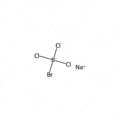 Cl[B-](Cl)(Cl)Br.[Na+]